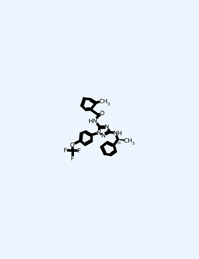 Cc1ccccc1C(=O)Nc1nc(N[C@@H](C)c2ccccc2)nn1-c1ccc(OC(F)(F)F)cc1